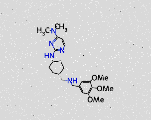 COc1cc(CNC[C@H]2CC[C@@H](Nc3nccc(N(C)C)n3)CC2)cc(OC)c1OC